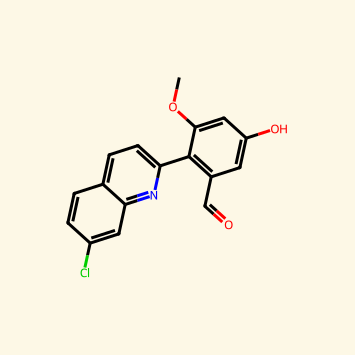 COc1cc(O)cc(C=O)c1-c1ccc2ccc(Cl)cc2n1